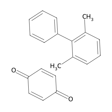 Cc1cccc(C)c1-c1ccccc1.O=C1C=CC(=O)C=C1